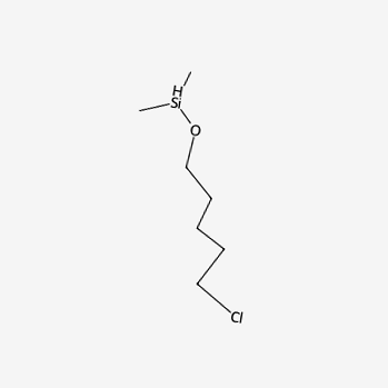 C[SiH](C)OCCCCCCl